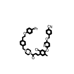 Cc1cc(C=CC(=O)N2CCN(Cc3ccc(CCOc4ccc(C(C)C)cc4)cc3)CC2)c(Cl)cc1Oc1ccc(OCc2ccc(C#N)cc2)cn1